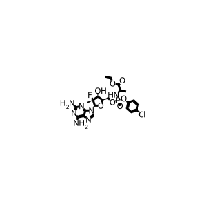 CCOC(=O)C(C)N[P@](=O)(OC[C@H]1O[C@@H](n2cnc3c(N)nc(N)nc32)[C@](C)(F)[C@@H]1O)Oc1ccc(Cl)cc1